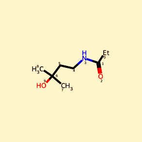 CCC(=O)NCCC(C)(C)O